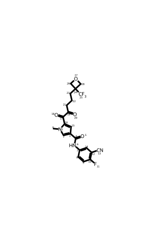 Cn1cc(C(=O)Nc2ccc(F)c(C#N)c2)cc1C(=O)C(=O)CCCC1(C(F)(F)F)COC1